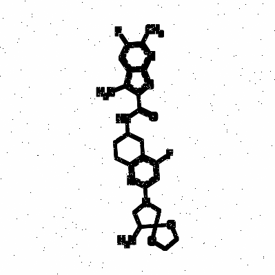 Cc1nc2sc(C(=O)NC3CCc4nc(N5CC(N)C6(C5)OCCO6)cc(F)c4C3)c(N)c2cc1F